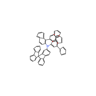 c1ccc(-c2cc(-c3ccccc3)cc(N(c3ccc4c(c3)C3(c5ccccc5-c5ccccc53)c3ccccc3-4)c3ccc4ccccc4c3-c3ccc4ccccc4c3)c2)cc1